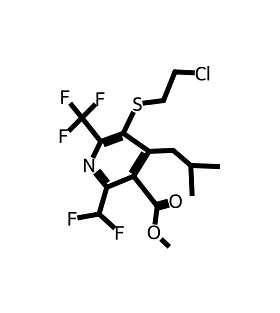 COC(=O)c1c(C(F)F)nc(C(F)(F)F)c(SCCCl)c1CC(C)C